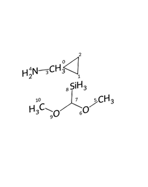 C1CC1.CN.COC([SiH3])OC